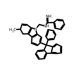 CC1C=Cc2c(c3ccc(C4(c5ccccc5)c5ccccc5-c5ccccc54)cc3n2CNC(=N)c2ccccc2)C1